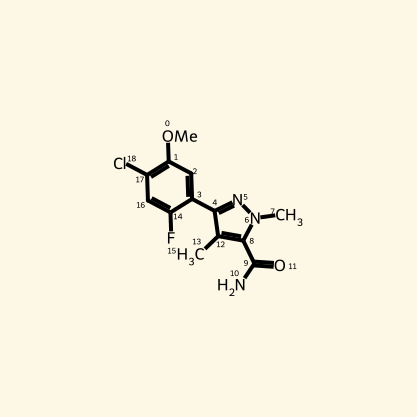 COc1cc(-c2nn(C)c(C(N)=O)c2C)c(F)cc1Cl